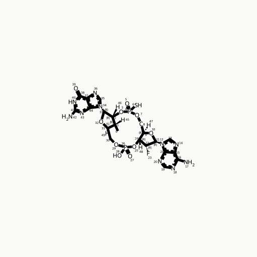 C[C@H]1[C@H]2OP(=O)(S)OC[C@H]3O[C@@H](n4cnc5c(N)ncnc54)[C@H](F)[C@@H]3OP(=O)(O)OC[C@H]1O[C@H]2n1cnc2c(=O)[nH]c(N)nc21